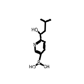 CC(C)CC(O)c1ccc(B(O)O)cn1